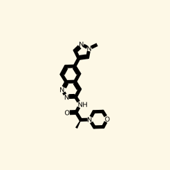 C[C@@H](C(=O)Nc1cc2cc(-c3cnn(C)c3)ccc2nn1)N1CCOCC1